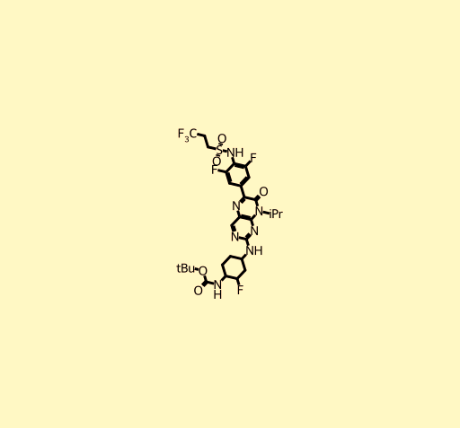 CC(C)n1c(=O)c(-c2cc(F)c(NS(=O)(=O)CCC(F)(F)F)c(F)c2)nc2cnc(NC3CCC(NC(=O)OC(C)(C)C)C(F)C3)nc21